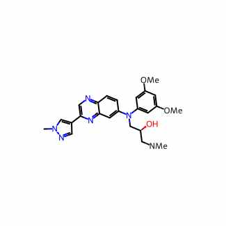 CNC[C@H](O)CN(c1cc(OC)cc(OC)c1)c1ccc2ncc(-c3cnn(C)c3)nc2c1